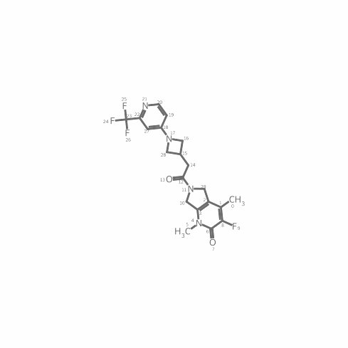 Cc1c2c(n(C)c(=O)c1F)CN(C(=O)CC1CN(c3ccnc(C(F)(F)F)c3)C1)C2